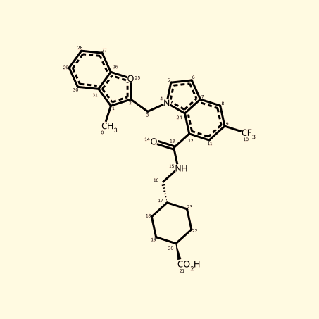 Cc1c(Cn2ccc3cc(C(F)(F)F)cc(C(=O)NC[C@H]4CC[C@H](C(=O)O)CC4)c32)oc2ccccc12